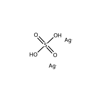 O=S(=O)(O)O.[Ag].[Ag]